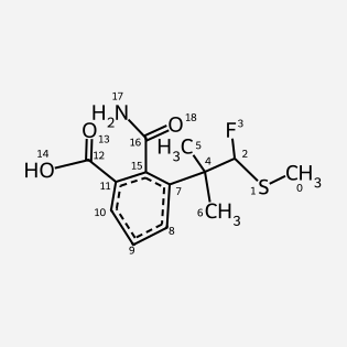 CSC(F)C(C)(C)c1cccc(C(=O)O)c1C(N)=O